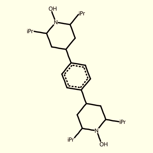 CC(C)C1CC(c2ccc(C3CC(C(C)C)N(O)C(C(C)C)C3)cc2)CC(C(C)C)N1O